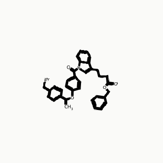 CC(C)Cc1ccc(C(C)Oc2ccc(C(=O)n3cc(CCCC(=O)OCc4ccccc4)c4ccccc43)cc2)cc1